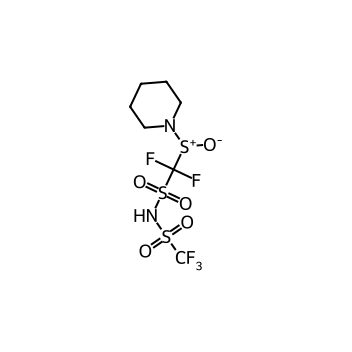 O=S(=O)(NS(=O)(=O)C(F)(F)[S+]([O-])N1CCCCC1)C(F)(F)F